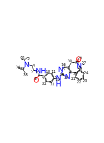 CC(C)N(CCNC(=O)c1ccc(Nc2ncc3c(n2)-c2ccccc2N(C)C(=O)C3)cc1)C(C)C